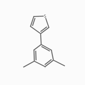 Cc1[c]c(C)cc(-c2ccsc2)c1